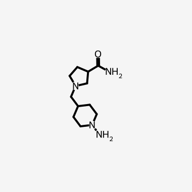 NC(=O)C1CCN(CC2CCN(N)CC2)C1